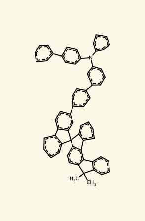 CC1(C)c2ccccc2-c2c1ccc1c2-c2ccccc2C12c1ccccc1-c1ccc(-c3ccc(-c4cccc(N(c5ccccc5)c5ccc(-c6ccccc6)cc5)c4)cc3)cc12